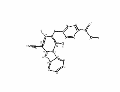 COC(=O)c1ccc(Cc2c(C)c(C#N)c3nc4ccccc4n3c2Cl)cc1